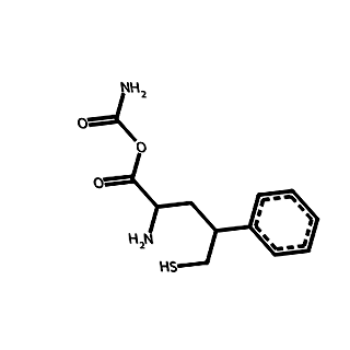 NC(=O)OC(=O)C(N)CC(CS)c1ccccc1